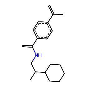 C=C(C)c1ccc(C(=C)NCC(C)C2CCCCC2)cc1